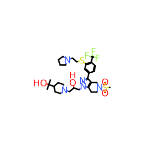 CC(C)(O)C1CCN(CC(O)Cn2nc(-c3ccc(C(F)(F)F)c(SCCN4CCCC4)c3)c3c2CCN(S(C)(=O)=O)C3)CC1